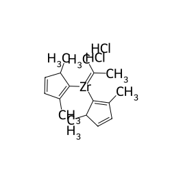 CC1=[C]([Zr]([C]2=C(C)C=CC2C)=[C](C)C)C(C)C=C1.Cl.Cl